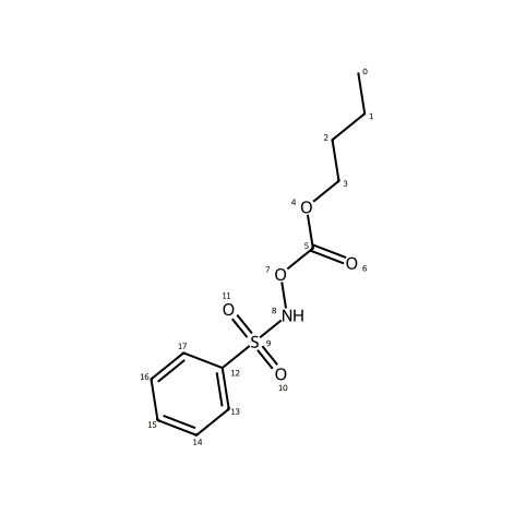 CCCCOC(=O)ONS(=O)(=O)c1ccccc1